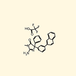 CN1C(=O)C(c2ccccc2)(c2cccc(-c3ccc4ccccc4c3)c2)N=C1N.O=C(O)C(F)(F)F